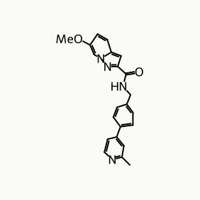 COc1ccc2cc(C(=O)NCc3ccc(-c4ccnc(C)c4)cc3)nn2c1